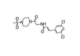 CS(=O)(=O)N1CCN(C(=O)CNC(=O)/C=C/c2cc(Cl)cc(Cl)c2)CC1